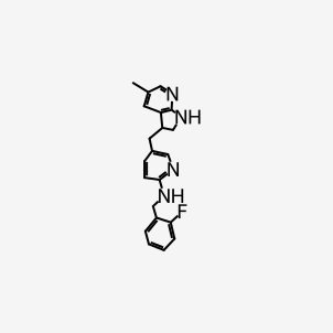 Cc1cnc2c(c1)C(Cc1ccc(NCc3ccccc3F)nc1)CN2